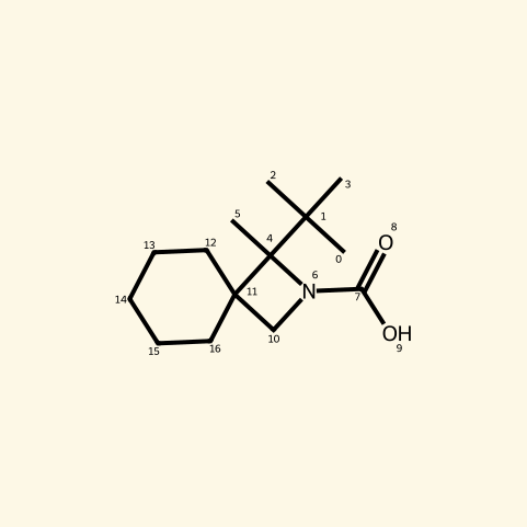 CC(C)(C)C1(C)N(C(=O)O)CC12CCCCC2